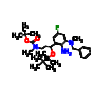 CN(CCC(O[Si](C)(C)C(C)(C)C)c1cc(F)cc(N(C)Cc2ccccc2)c1N)C(=O)OC(C)(C)C